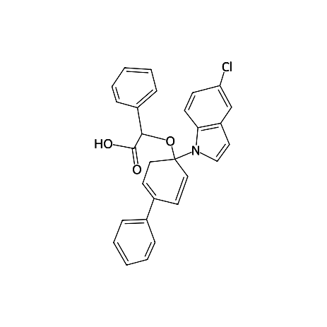 O=C(O)C(OC1(n2ccc3cc(Cl)ccc32)C=CC(c2ccccc2)=CC1)c1ccccc1